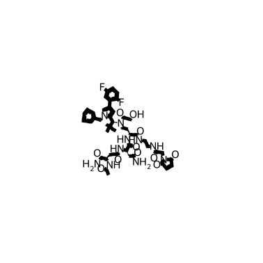 CC(=O)N[C@H](CC(=O)N[C@@H](CC(N)=O)C(=O)N[C@@H](CCN(C(=O)CO)[C@@H](c1cc(-c2cc(F)ccc2F)cn1Cc1ccccc1)C(C)(C)C)C(=O)NCCNC(=O)CN1C(=O)C=CC1=O)C(N)=O